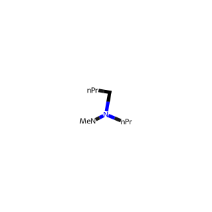 CCCCN(CCC)NC